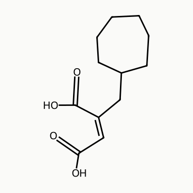 O=C(O)/C=C(/CC1CCCCCC1)C(=O)O